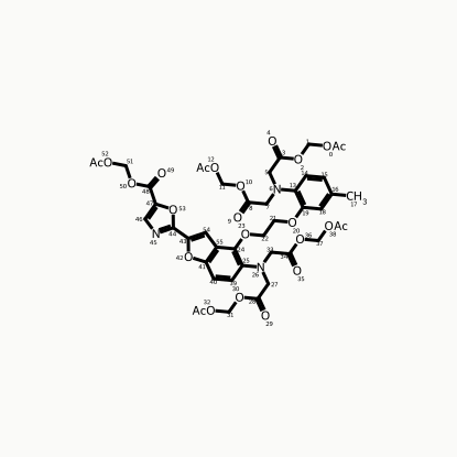 CC(=O)OCOC(=O)CN(CC(=O)OCOC(C)=O)c1ccc(C)cc1OCCOc1c(N(CC(=O)OCOC(C)=O)CC(=O)OCOC(C)=O)ccc2oc(-c3ncc(C(=O)OCOC(C)=O)o3)cc12